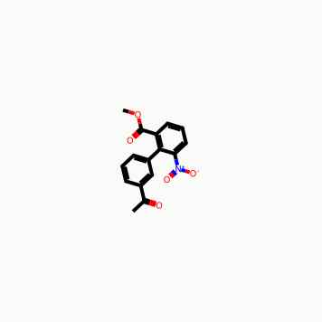 COC(=O)c1cccc([N+](=O)[O-])c1-c1cccc(C(C)=O)c1